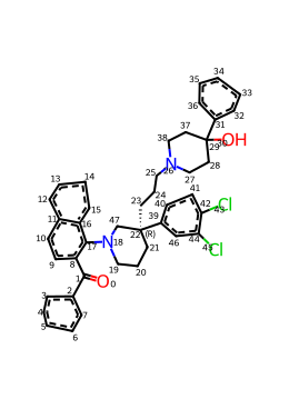 O=C(c1ccccc1)c1ccc2ccccc2c1N1CCC[C@](CCCN2CCC(O)(c3ccccc3)CC2)(c2ccc(Cl)c(Cl)c2)C1